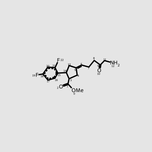 COC(=O)C1C/C(=C\CCC(=O)CN)CC1c1ccc(F)cc1F